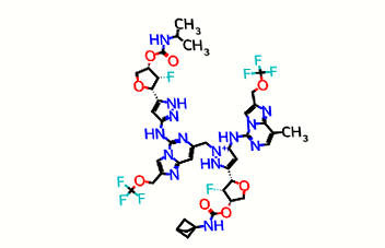 Cc1cnc(Nc2cc([C@@H]3OC[C@H](OC(=O)NC45CC(C4)C5)[C@@H]3F)[nH][n+]2Cc2cc3nc(COC(F)(F)F)cn3c(Nc3cc([C@@H]4OC[C@H](OC(=O)NC(C)C)[C@@H]4F)[nH]n3)n2)n2cc(COC(F)(F)F)nc12